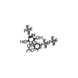 CC(O)Oc1ccccc1.F[B-](F)(F)F.F[B-](F)(F)F.F[B-](F)(F)F.O=C(O)/C=C\C(=O)O.[LiH]